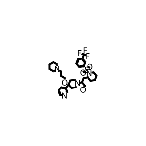 O=CC(CC1CCCCN1S(=O)(=O)c1cccc(C(F)(F)F)c1)N1CCC(OCCCN2CCCCC2)(c2cccnc2)CC1